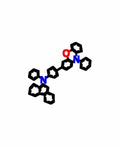 c1ccc(N2c3ccccc3Oc3cc(-c4ccc(N(c5ccccc5)c5cc6ccccc6c6ccccc56)cc4)ccc32)cc1